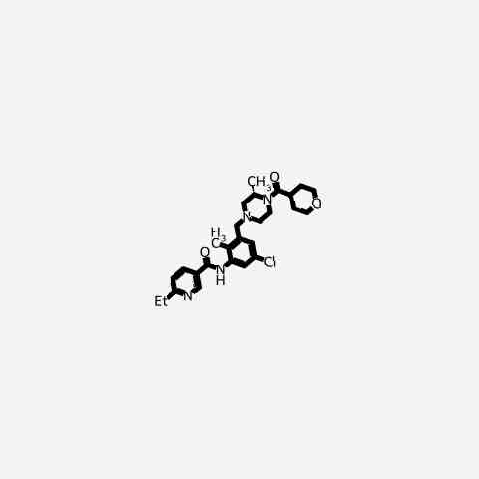 CCc1ccc(C(=O)Nc2cc(Cl)cc(CN3CCN(C(=O)C4CCOCC4)[C@@H](C)C3)c2C)cn1